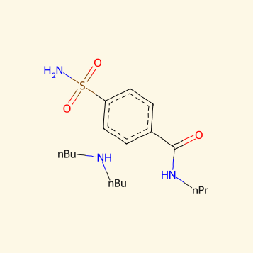 CCCCNCCCC.CCCNC(=O)c1ccc(S(N)(=O)=O)cc1